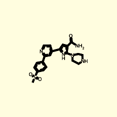 CS(=O)(=O)c1ccc(-c2cc(-c3cc(C(N)=O)c(N4CCNCC4)[nH]3)ccn2)cc1